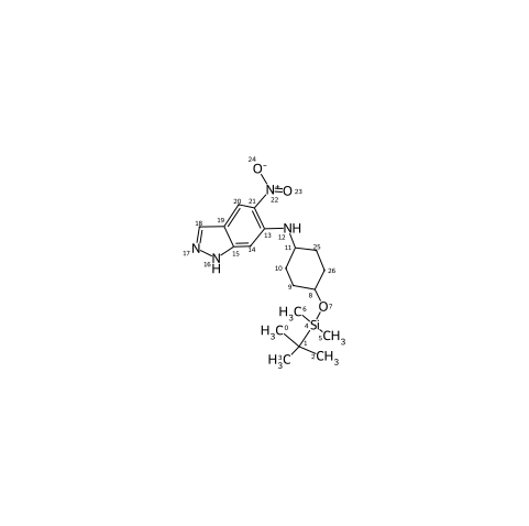 CC(C)(C)[Si](C)(C)OC1CCC(Nc2cc3[nH]ncc3cc2[N+](=O)[O-])CC1